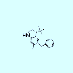 Cc1cc2c(cc1Cc1ccccc1)C(C(C)(C)C)CCN2